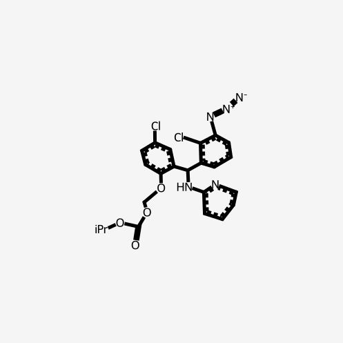 CC(C)OC(=O)OCOc1ccc(Cl)cc1C(Nc1ccccn1)c1cccc(N=[N+]=[N-])c1Cl